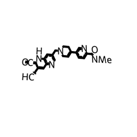 C#CC1=Cc2ncc(CN3CC=C(c4ccc(C(=O)NC)nc4)CC3)cc2NC1=C=O